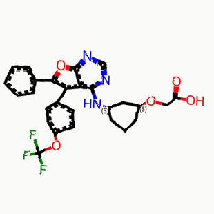 O=C(O)CO[C@H]1CCC[C@H](Nc2ncnc3oc(-c4ccccc4)c(-c4ccc(OC(F)(F)F)cc4)c23)C1